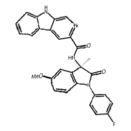 COc1ccc2c(c1)[C@@](C)(NC(=O)c1cc3c(cn1)[nH]c1ccccc13)C(=O)N2c1ccc(F)cc1